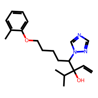 C=CC(O)(C(C)C)C(CCCCOc1ccccc1C)n1cncn1